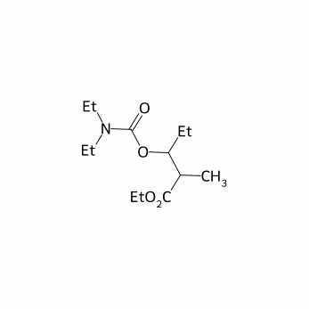 CCOC(=O)C(C)C(CC)OC(=O)N(CC)CC